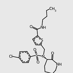 CCCCNC(=O)c1ccc(CN([C@@H]2CCCCNC2=O)S(=O)(=O)c2ccc(Cl)cc2)s1